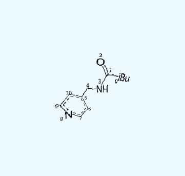 CCC(C)C(=O)NCc1ccncc1